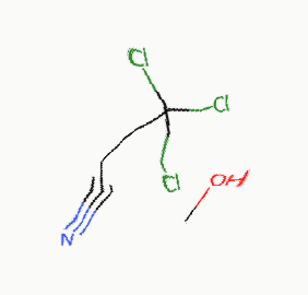 CO.N#CCC(Cl)(Cl)Cl